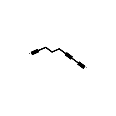 [C]#CC#CCCCC#[C]